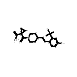 C=C(O)C1(C(=C)N2CCC(CCc3ccc(F)cc3C(C)(C)C)CC2)CC1